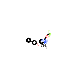 Cc1c(O[C@H]2CC[C@H](c3ccccc3)CC2)ccn2c(COCC(F)(F)F)nnc12